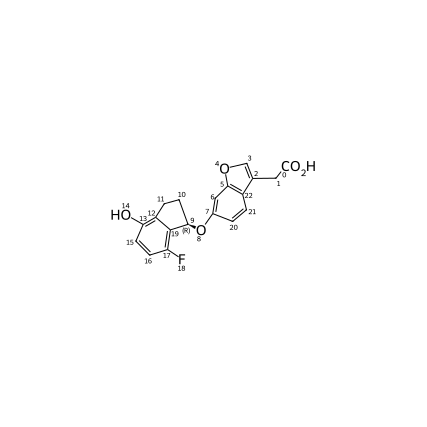 O=C(O)Cc1coc2cc(O[C@@H]3CCc4c(O)ccc(F)c43)ccc12